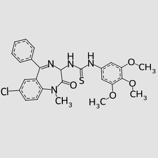 COc1cc(NC(=S)NC2N=C(c3ccccc3)c3cc(Cl)ccc3N(C)C2=O)cc(OC)c1OC